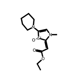 CCOC(=O)C=C1N(C)C=C(N2CCCCC2)[S+]1[O-]